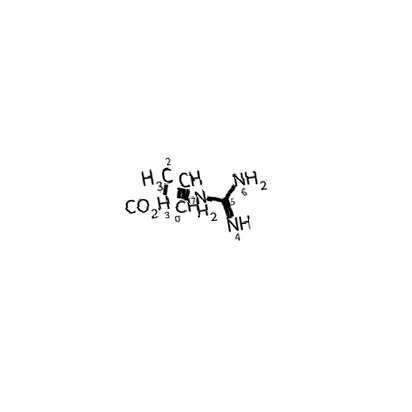 C#C.CC(=O)O.N=C(N)N